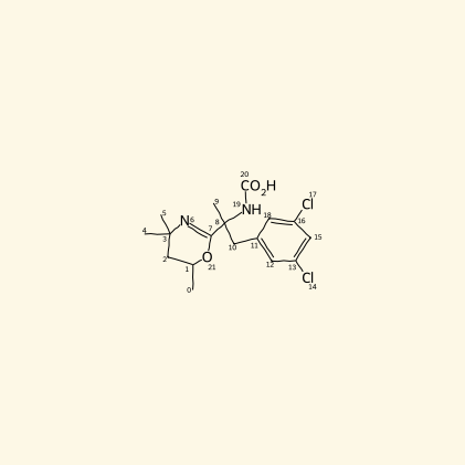 CC1CC(C)(C)N=C(C(C)(Cc2cc(Cl)cc(Cl)c2)NC(=O)O)O1